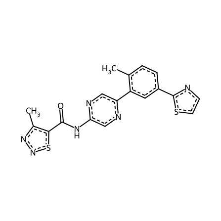 Cc1ccc(-c2nccs2)cc1-c1cnc(NC(=O)c2snnc2C)cn1